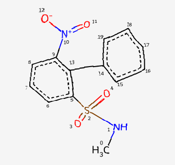 CNS(=O)(=O)c1cccc([N+](=O)[O-])c1-c1ccccc1